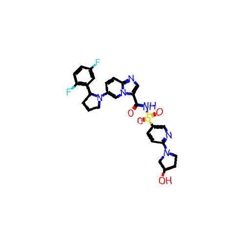 O=C(NS(=O)(=O)c1ccc(N2CCC(O)C2)nc1)c1cnc2ccc(N3CCCC3c3cc(F)ccc3F)cn12